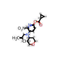 C=C(C)CN(c1ccc(OC(=O)C2CC2)nc1[N+](=O)[O-])C1CCOCC1